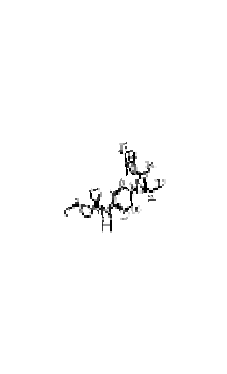 CCOC(=O)Nc1ccc(N(CC)C(C)=NOC)cc1